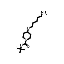 CC(C)(C)OC(=O)N1CCC(OCCCCCN)CC1